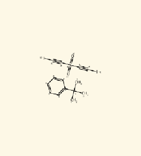 CC(C)(C)c1ccccc1.O=S(=O)(C#CI)C#CI